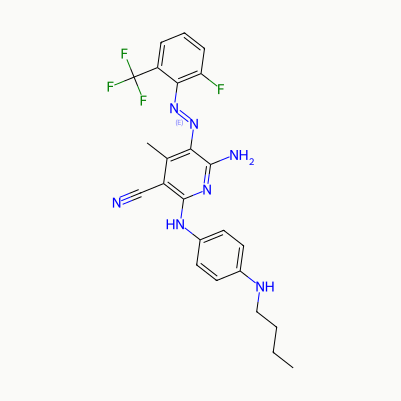 CCCCNc1ccc(Nc2nc(N)c(/N=N/c3c(F)cccc3C(F)(F)F)c(C)c2C#N)cc1